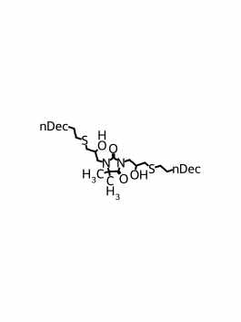 CCCCCCCCCCCCSCC(O)CN1C(=O)N(CC(O)CSCCCCCCCCCCCC)C(C)(C)C1=O